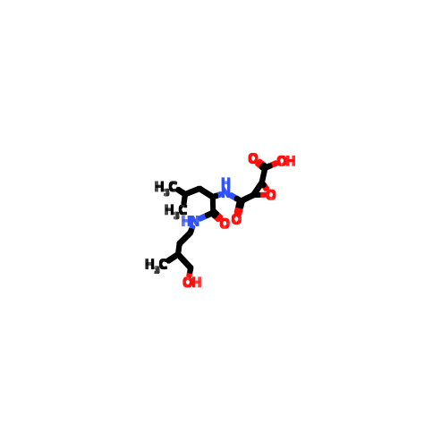 CC(C)CC(NC(=O)C1OC1C(=O)O)C(=O)NCCC(C)CO